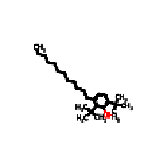 CCCCCCCCCCCCc1ccc(C(C)(C)C)c(O)c1C(C)(C)C